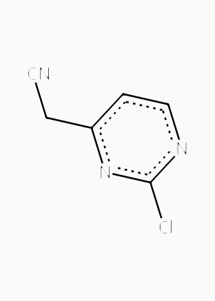 N#CCc1ccnc(Cl)n1